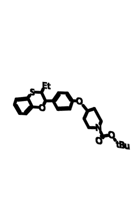 CCC1Sc2ccccc2OC1c1ccc(OC2CCN(C(=O)OC(C)(C)C)CC2)cc1